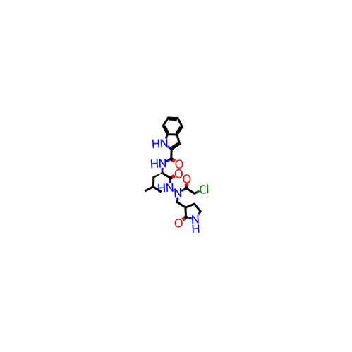 CC(C)C[C@@H](NC(=O)c1cc2ccccc2[nH]1)C(=O)NN(CC1CCNC1=O)C(=O)CCl